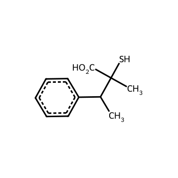 CC(c1ccccc1)C(C)(S)C(=O)O